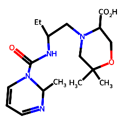 CCC(CN1CC(C)(C)OCC1C(=O)O)NC(=O)N1C=CC=NC1C